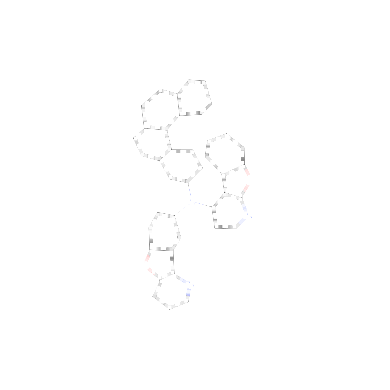 c1ccc2c(c1)ccc1ccc3cc(N(c4ccc5oc6cccnc6c5c4)c4ccnc5oc6ccccc6c45)ccc3c12